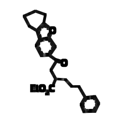 CCOC(=O)C(CCCc1ccccc1)CC(=O)c1ccc2c3c(oc2c1)CCCC3